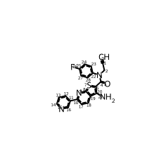 C#CCN(C(=O)c1sc2nc(-c3cccnc3)ccc2c1N)c1ccc(F)cc1